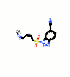 C/N=C\C=C/CS(=O)(=O)n1nnc2ccc(C#N)cc21